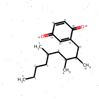 CCCCC(C)CC(C)C(C)CC1=CC(=O)C=CC1=O